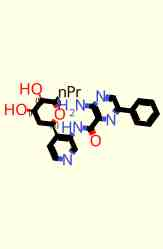 CCC[C@H]1O[C@@H](c2ccncc2NC(=O)c2nc(-c3ccccc3)cnc2N)C[C@@H](O)[C@@H]1O